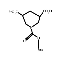 CCOC(=O)C1CC(C(=O)OCC)CN(C(=O)OC(C)(C)C)C1